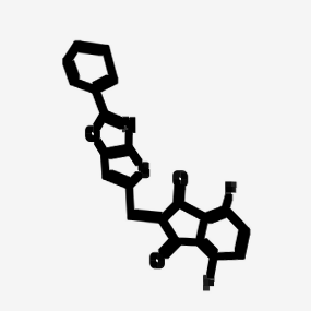 O=C1C(=Cc2cc3oc(-c4ccccc4)nc3s2)C(=O)c2c(F)ccc(F)c21